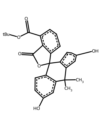 CC(C)(C)OC(=O)c1cccc2c1C(=O)OC21c2ccc(O)cc2C(C)(C)c2cc(O)ccc21